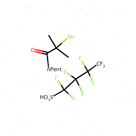 CCCCCC(=O)C(C)(C)S.O=S(=O)(O)C(F)(F)C(F)(F)C(F)(F)C(F)(F)F